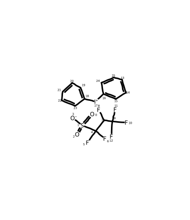 O=S(=O)([O-])C(F)(F)C(F)C(F)(F)F.c1ccc([I+]c2ccccc2)cc1